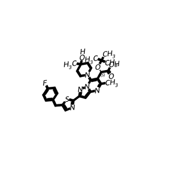 Cc1nc2cc(-c3ncc(Cc4ccc(F)cc4)s3)nn2c(N2CCC(C)(O)CC2)c1[C@H](OC(C)(C)C)C(=O)O